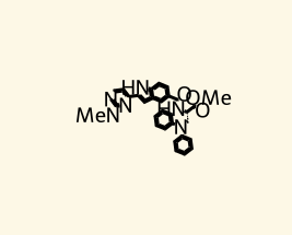 CNc1nccc(-c2cc3cc(C(=O)N[C@@H](CN(c4ccccc4)c4ccccc4)C(=O)OC)ccc3[nH]2)n1